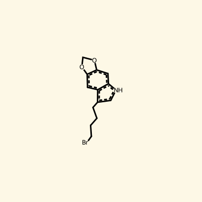 BrCCCCc1c[nH]c2cc3c(cc12)OCO3